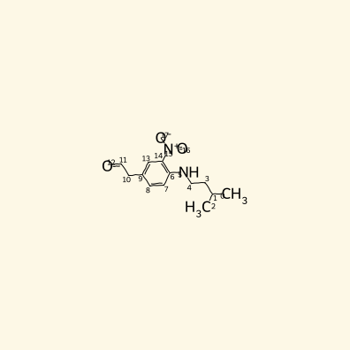 CC(C)CCNc1ccc(CC=O)cc1[N+](=O)[O-]